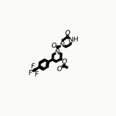 CC(=O)OC1CC(c2ccc(C(F)(F)F)cc2)CN(C(=O)N2CCNC(=O)C2)C1